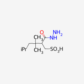 CC(C)CC(C)(C)C(CS(=O)(=O)O)C(=O)NN